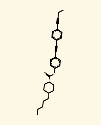 CCC#Cc1ccc(C#Cc2ccc(OC(=O)[C@H]3CC[C@H](CCCCC)CC3)cc2)cc1